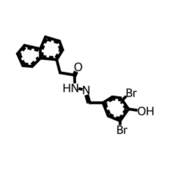 O=C(Cc1cccc2ccccc12)N/N=C/c1cc(Br)c(O)c(Br)c1